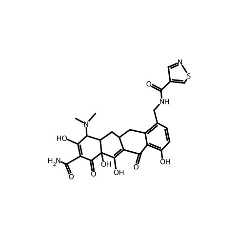 CN(C)C1C(O)=C(C(N)=O)C(=O)C2(O)C(O)=C3C(=O)c4c(O)ccc(CNC(=O)c5cnsc5)c4CC3CC12